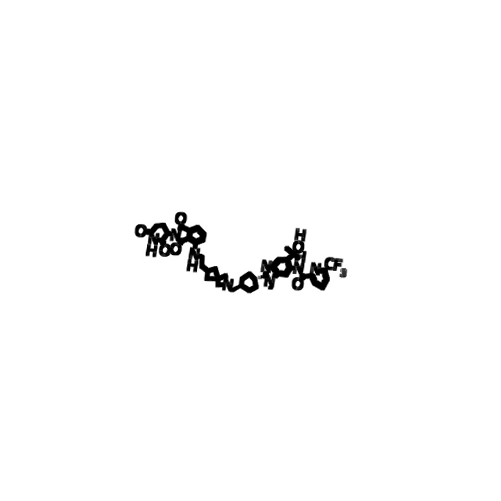 Cn1c2cc(NC(=O)c3cccc(C(F)(F)F)n3)c(C(C)(C)O)cc2nc1[C@H]1CC[C@H](CN2CC3(CC(CCNc4cccc5c4C(=O)N(C4CCC(=O)NC4=O)C5=O)C3)C2)CC1